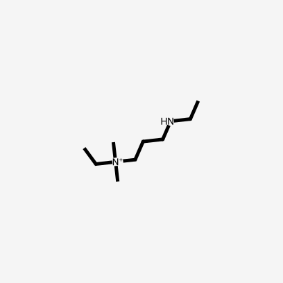 CCNCCC[N+](C)(C)CC